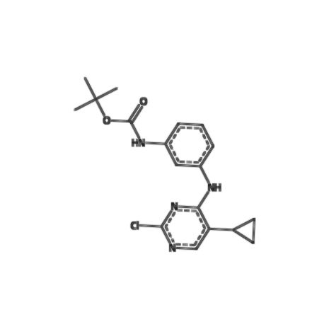 CC(C)(C)OC(=O)Nc1cccc(Nc2nc(Cl)ncc2C2CC2)c1